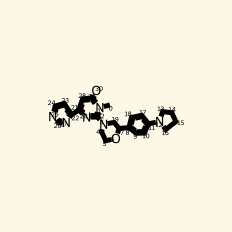 Cn1c(N2CCOC(c3ccc(N4CCCC4)cc3)C2)nc(-c2ccncn2)cc1=O